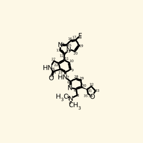 CN(C)Cc1nc(Nc2ccc(-c3cnc4cc(F)ccn34)c3c2C(=O)NC3)ccc1[C@H]1CCOC1